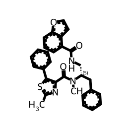 Cc1nc(C(=O)N(C)[C@H](CNC(=O)c2cccc3occc23)Cc2ccccc2)c(-c2ccccc2)s1